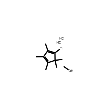 CC1=C(C)C(C)(C)[C]([Ti])=C1C.CO.Cl.Cl